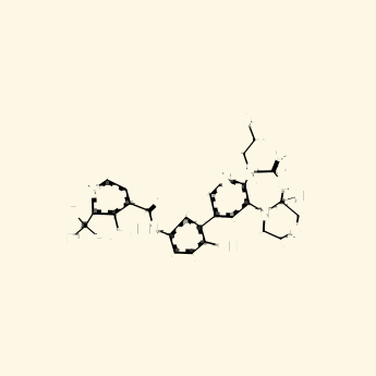 Cc1ccc(NC(=O)c2ccnc(C(F)(F)F)c2F)cc1-c1cnc2c(c1)N1CCOC[C@H]1OC(=O)N2CCO